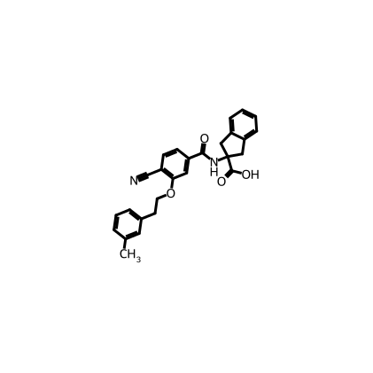 Cc1cccc(CCOc2cc(C(=O)NC3(C(=O)O)Cc4ccccc4C3)ccc2C#N)c1